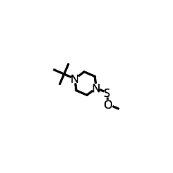 COSN1CCN(C(C)(C)C)CC1